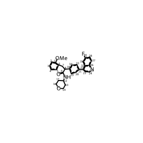 COc1ccccc1CC(C(=O)NC1CCOCC1)c1ccc(-c2ccnc3ccc(F)cc23)cc1